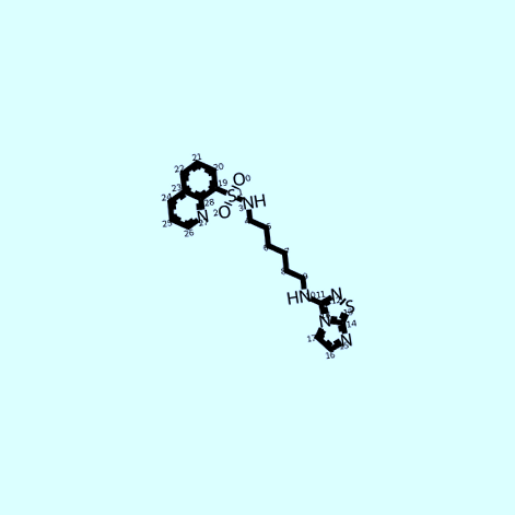 O=S(=O)(NCCCCCCNc1nsc2nccn12)c1cccc2cccnc12